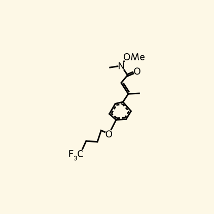 CON(C)C(=O)C=C(C)c1ccc(OCCCC(F)(F)F)cc1